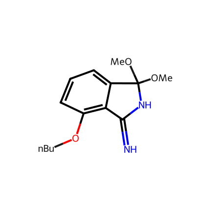 CCCCOc1cccc2c1C(=N)NC2(OC)OC